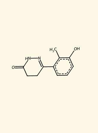 Cc1c(O)cccc1C1=NNC(=O)CC1